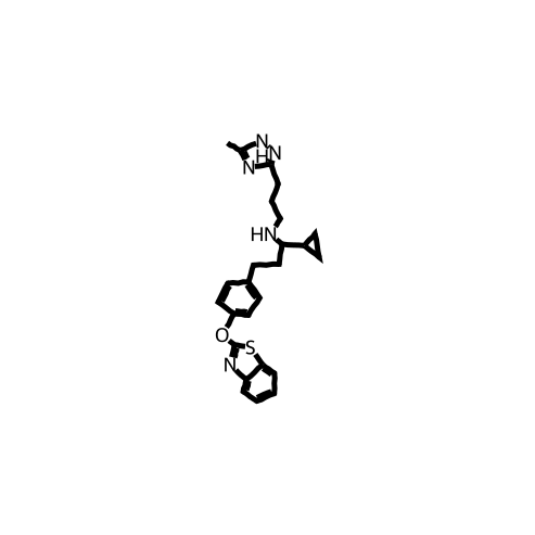 Cc1nc(CCCNC(CCc2ccc(Oc3nc4ccccc4s3)cc2)C2CC2)n[nH]1